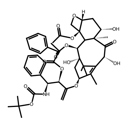 C=C(O[C@H]1C[C@@]2(O)[C@@H](OC(=O)c3ccccc3)C3[C@](C)(C(=O)[C@H](O)C(=C1C)C2(C)C)[C@@H](O)C[C@H]1OC[C@@]31OC(C)=O)[C@H](OC(=O)CC)[C@@H](NC(=O)OC(C)(C)C)c1ccccc1